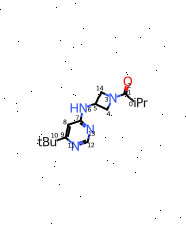 CC(C)C(=O)N1CC(Nc2cc(C(C)(C)C)ncn2)C1